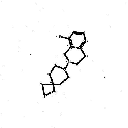 Fc1cccc2c1CN(C1CCC3(CCC3)CC1)CC2